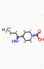 CCCC(=N)C1CCN(C(=O)O)CC1